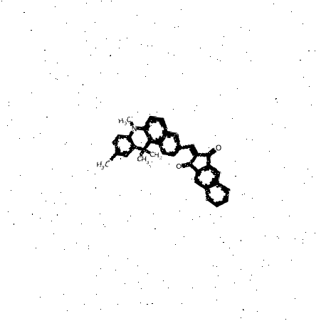 Cc1ccc2c(c1)C(C)(C)c1c(ccc3cc(C=C4C(=O)c5cc6ccccc6cc5C4=O)ccc13)N2C